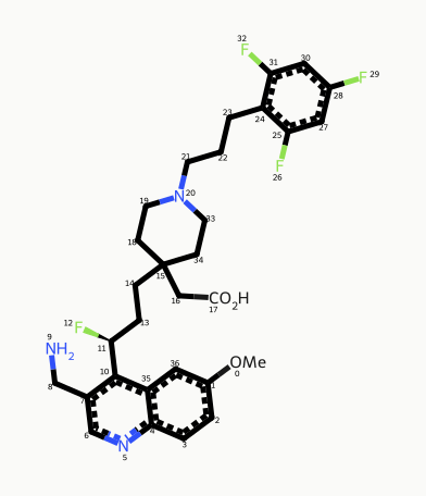 COc1ccc2ncc(CN)c([C@@H](F)CCC3(CC(=O)O)CCN(CCCc4c(F)cc(F)cc4F)CC3)c2c1